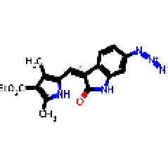 CCOC(=O)c1c(C)[nH]c(/C=C2\C(=O)Nc3cc(N=[N+]=[N-])ccc32)c1C